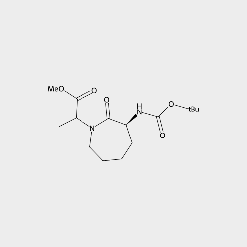 COC(=O)C(C)N1CCCC[C@H](NC(=O)OC(C)(C)C)C1=O